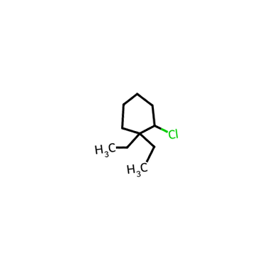 CCC1(CC)CCCCC1Cl